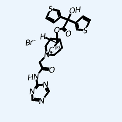 O=C(C[N+]12CCC(CC1)[C@@H](OC(=O)C(O)(c1ccsc1)c1ccsc1)C2)Nc1ncncn1.[Br-]